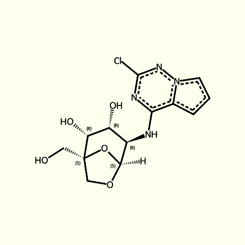 OC[C@@]12CO[C@@H](O1)[C@H](Nc1nc(Cl)nn3cccc13)[C@@H](O)[C@H]2O